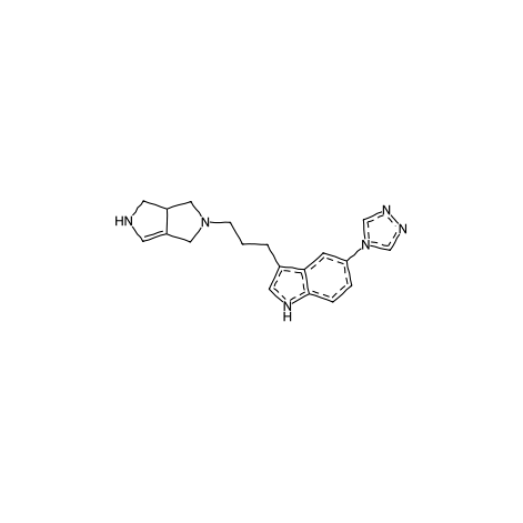 C1=C2CN(CCCc3c[nH]c4ccc(-n5cnnc5)cc34)CC2CN1